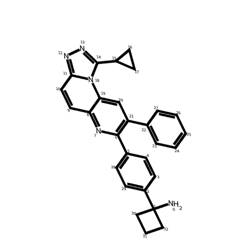 NC1(c2ccc(-c3nc4ccc5nnc(C6CC6)n5c4cc3-c3ccccc3)cc2)CCC1